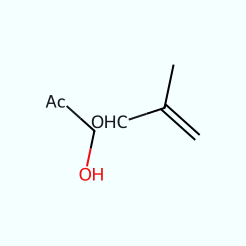 C=C(C)C=O.CC(=O)CO